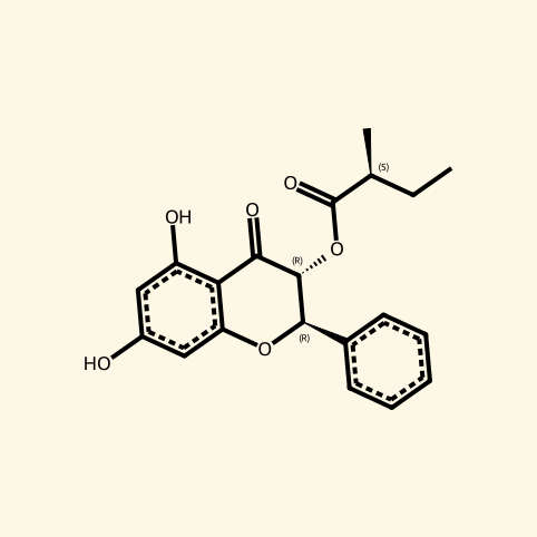 CC[C@H](C)C(=O)O[C@H]1C(=O)c2c(O)cc(O)cc2O[C@@H]1c1ccccc1